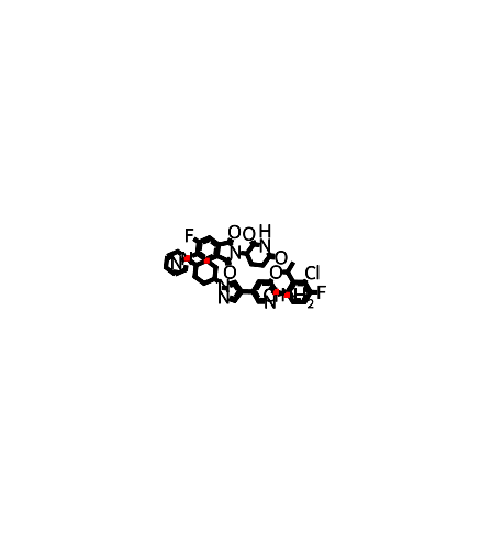 CC(Oc1cc(-c2cnn(C3CCC(CN4C5CC4CN(c4cc6c(cc4F)C(=O)N(C4CCC(=O)NC4=O)C6=O)C5)CC3)c2)cnc1N)c1c(Cl)ccc(F)c1Cl